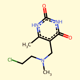 Cc1[nH]c(=O)[nH]c(=O)c1CN(C)CCCl